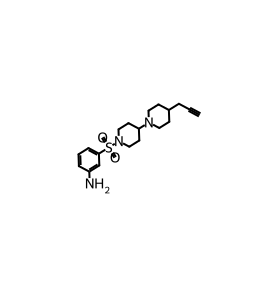 C#CCC1CCN(C2CCN(S(=O)(=O)c3cccc(N)c3)CC2)CC1